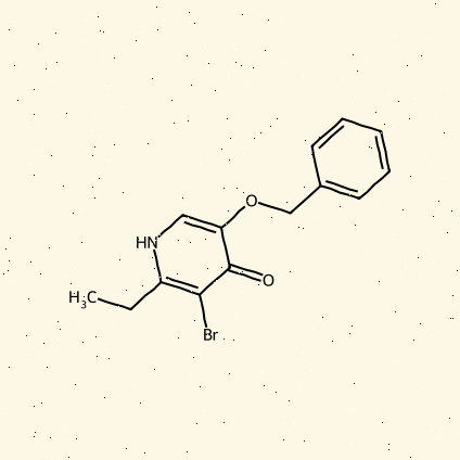 CCc1[nH]cc(OCc2ccccc2)c(=O)c1Br